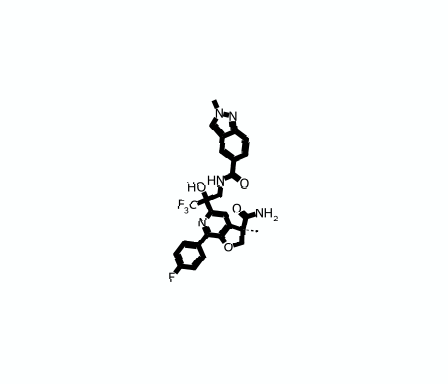 Cn1cc2cc(C(=O)NCC(O)(c3cc4c(c(-c5ccc(F)cc5)n3)OC[C@]4(C)C(N)=O)C(F)(F)F)ccc2n1